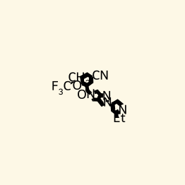 CCc1cc(-n2cc3c(n2)CN(C(=O)c2cc(C#N)ccc2O[C@@H](C)C(F)(F)F)C3)ccn1